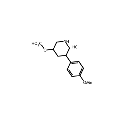 COc1ccc(C2CNCC(OC(=O)O)C2)cc1.Cl